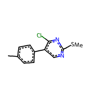 CSc1ncc(-c2ccc(C)cc2)c(Cl)n1